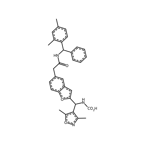 Cc1ccc(C(NC(=O)Cc2ccc3oc(C(NC(=O)O)c4c(C)noc4C)cc3c2)c2ccccc2)c(C)c1